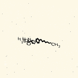 CCCCCCCCc1ccc(N2CCC(N)(C(=O)OC)C2)cc1